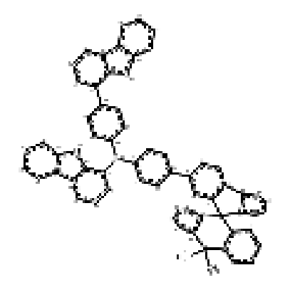 CC1(C)c2ccccc2C2(c3ccccc3-c3ccc(-c4ccc(N(c5ccc(-c6cccc7c6sc6ccccc67)cc5)c5cccc6c5oc5ccccc56)cc4)cc32)c2ccccc21